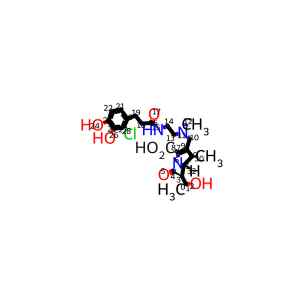 C[C@@H](O)[C@H]1C(=O)N2C(C(=O)O)=C(CN(C)CCNC(=O)CCc3ccc(O)c(O)c3Cl)[C@H](C)[C@H]12